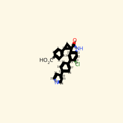 O=C(O)c1ccc(C2CC23C(=O)Nc2cc(Cl)c(-c4ccc(-c5ccncc5)cc4)cc23)cc1